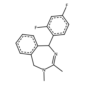 CC1=NC(c2ccc(F)cc2F)c2ccccc2CN1C